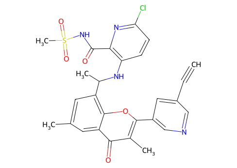 C#Cc1cncc(-c2oc3c(C(C)Nc4ccc(Cl)nc4C(=O)NS(C)(=O)=O)cc(C)cc3c(=O)c2C)c1